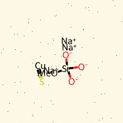 CO[Si]([O-])([O-])[O-].[Na+].[Na+].[Na+].[S]=[Cu]